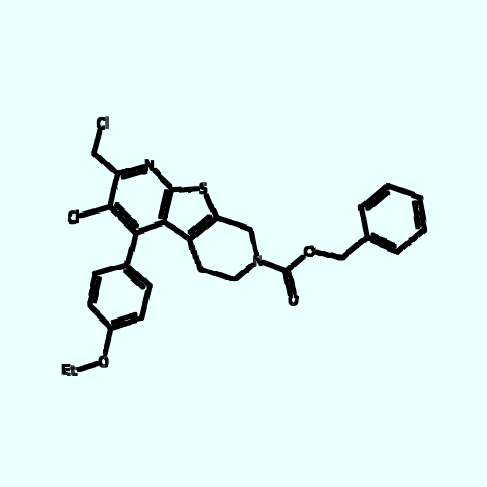 CCOc1ccc(-c2c(Cl)c(CCl)nc3sc4c(c23)CCN(C(=O)OCc2ccccc2)C4)cc1